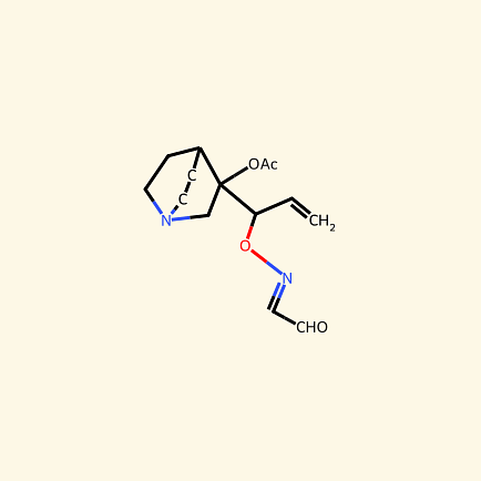 C=CC(ON=CC=O)C1(OC(C)=O)CN2CCC1CC2